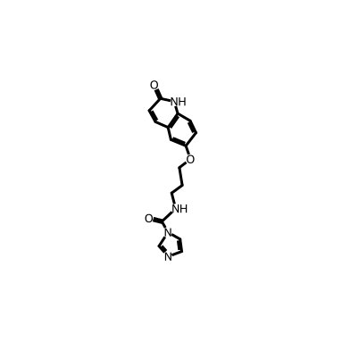 O=C(NCCCOc1ccc2[nH]c(=O)ccc2c1)n1ccnc1